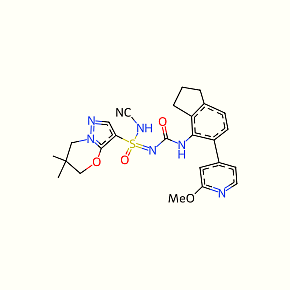 COc1cc(-c2ccc3c(c2NC(=O)N=S(=O)(NC#N)c2cnn4c2OCC(C)(C)C4)CCC3)ccn1